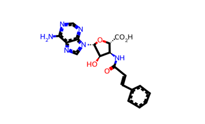 Nc1ncnc2c1ncn2[C@@H]1O[C@H](C(=O)O)[C@@H](NC(=O)C=Cc2ccccc2)[C@H]1O